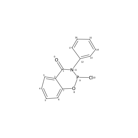 O=C1c2ccccc2OP(Cl)N1c1ccccc1